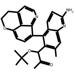 CC(=O)C(OC(C)(C)C)c1c(C)cc2nc(N)ccc2c1-c1ccc2c3c(ccnc13)CCO2